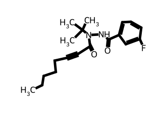 CCCCCC#CC(=O)N(NC(=O)c1cccc(F)c1)C(C)(C)C